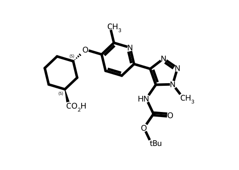 Cc1nc(-c2nnn(C)c2NC(=O)OC(C)(C)C)ccc1O[C@H]1CCC[C@H](C(=O)O)C1